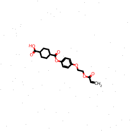 C=CC(=O)OCCOc1ccc(OC(=O)C2CCC(C(=O)O)CC2)cc1